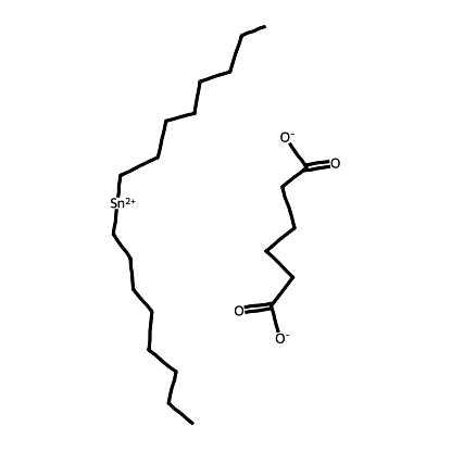 CCCCCCC[CH2][Sn+2][CH2]CCCCCCC.O=C([O-])CCCCC(=O)[O-]